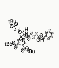 CC(C)(C)OC(=O)CCOCC(COCCC(=O)OC(C)(C)C)(COCCC(=O)OC(C)(C)C)NC(=O)CCCC(O)OCc1ccccc1